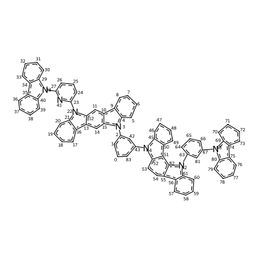 c1cc(-n2c3ccccc3c3cc4c(cc32)c2ccccc2n4-c2cccc(-n3c4ccccc4c4ccccc43)n2)cc(-n2c3ccccc3c3c2ccc2c4ccccc4n(-c4cccc(-n5c6ccccc6c6ccccc65)c4)c23)c1